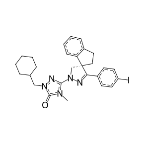 Cn1c(N2C[C@]3(CCc4ccccc43)C(c3ccc(I)cc3)=N2)nn(CC2CCCCC2)c1=O